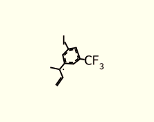 C=C[C](C)c1cc(I)cc(C(F)(F)F)c1